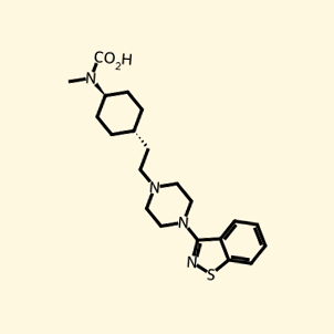 CN(C(=O)O)[C@H]1CC[C@H](CCN2CCN(c3nsc4ccccc34)CC2)CC1